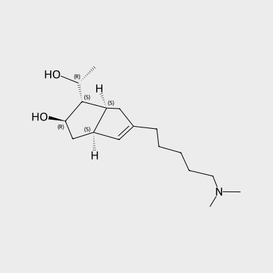 C[C@@H](O)[C@@H]1[C@H]2CC(CCCCCN(C)C)=C[C@H]2C[C@H]1O